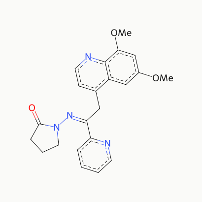 COc1cc(OC)c2nccc(CC(=NN3CCCC3=O)c3ccccn3)c2c1